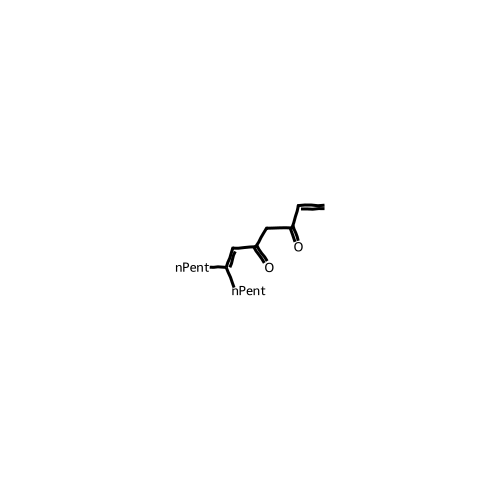 C=CC(=O)CC(=O)C=C(CCCCC)CCCCC